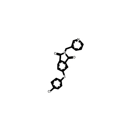 O=C1c2ccc(Sc3ccc(Cl)cc3)cc2C(=O)N1Cc1cccnc1